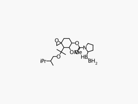 BBC1CCCN1C(=O)OC1CCC2(CO2)C(C(C)(C)OCC(C)C(C)C)C1OC